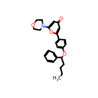 CCCCC(Oc1ccc(-c2cc(=O)cc(N3CCOCC3)o2)cc1)c1ccccc1